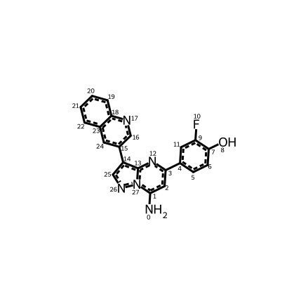 Nc1cc(-c2ccc(O)c(F)c2)nc2c(-c3cnc4ccccc4c3)cnn12